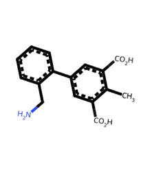 Cc1c(C(=O)O)cc(-c2ccccc2CN)cc1C(=O)O